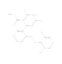 COC(=O)C1=C(C)NC(C)=CC1c1ccccc1OCc1c(Cl)cccc1Cl